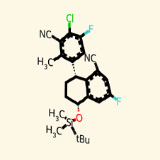 Cc1c([C@H]2CC[C@@H](O[Si](C)(C)C(C)(C)C)c3cc(F)cc(C#N)c32)cc(F)c(Cl)c1C#N